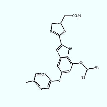 CCC(CC)Oc1cc(Oc2ccc(C)nc2)cc2cc(C3=NCC(CC(=O)O)S3)[nH]c12